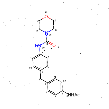 CC(=O)Nc1ccc(Cc2ccc(NC(=O)N3CCOCC3)cc2)cc1